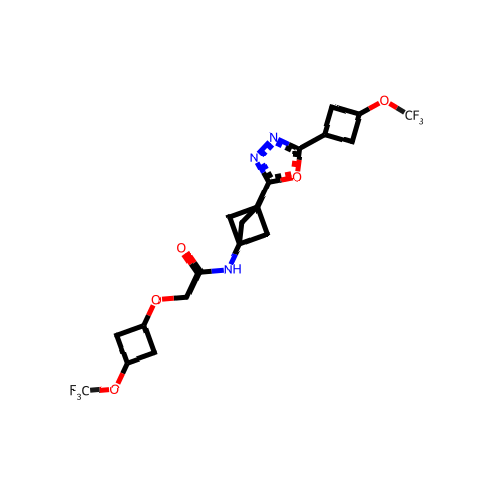 O=C(COC1CC(OC(F)(F)F)C1)NC12CC(c3nnc(C4CC(OC(F)(F)F)C4)o3)(C1)C2